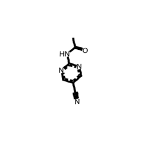 CC(=O)Nc1ncc(C#N)cn1